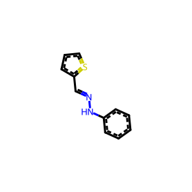 C(=NNc1ccccc1)c1cccs1